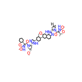 COC[C@H]1C[C@@H](c2ncc(-c3ccc4c(c3)COc3cc5c(ccc6nc([C@@H]7C[C@@H]8CC8N7C(=O)[C@@H](NC(=O)OC)C(C)C)[nH]c65)cc3-4)[nH]2)N(C(=O)[C@H](NC(=O)OC)c2ccccc2)C1